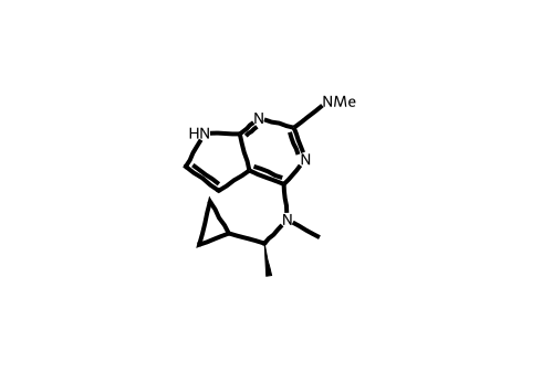 CNc1nc(N(C)[C@@H](C)C2CC2)c2cc[nH]c2n1